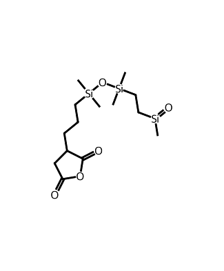 C[Si](=O)CC[Si](C)(C)O[Si](C)(C)CCCC1CC(=O)OC1=O